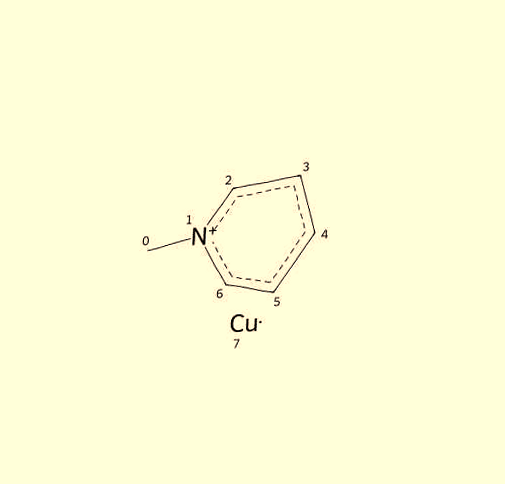 C[n+]1ccccc1.[Cu]